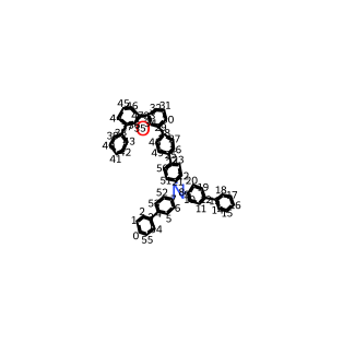 c1ccc(-c2ccc(N(c3ccc(-c4ccccc4)cc3)c3ccc(-c4ccc(-c5cccc6c5oc5c(-c7ccccc7)cccc56)cc4)cc3)cc2)cc1